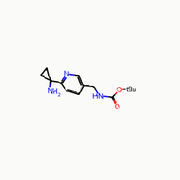 CC(C)(C)OC(=O)NCc1ccc(C2(N)CC2)nc1